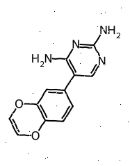 Nc1ncc(-c2ccc3c(c2)OC=CO3)c(N)n1